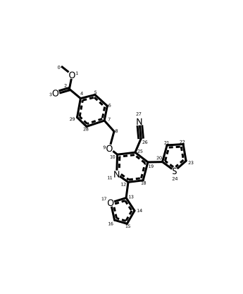 COC(=O)c1ccc(COc2nc(-c3ccco3)cc(-c3cccs3)c2C#N)cc1